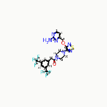 Nc1nccc(COc2nsnc2N2CCN(C(=O)Cc3cc(C(F)(F)F)cc(C(F)(F)F)c3)CC2)n1